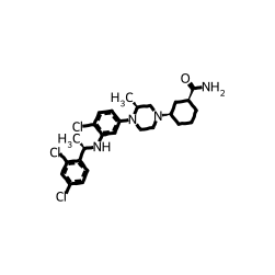 C[C@@H](Nc1cc(N2CCN([C@@H]3CCC[C@H](C(N)=O)C3)C[C@@H]2C)ccc1Cl)c1ccc(Cl)cc1Cl